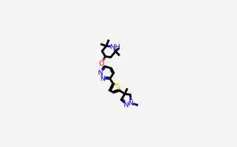 CN1CC(C)(c2ccc(-c3ccc(OC4CC(C)(C)NC(C)(C)C4)nn3)s2)C=N1